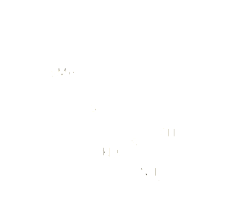 CSCS(CS(C)(C)N)(c1ccccc1)c1ccccc1